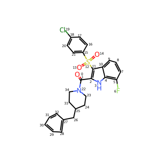 O=C(c1[nH]c2c(F)cccc2c1S(=O)(=O)c1ccc(Cl)cc1)N1CCC(Cc2ccccc2)CC1